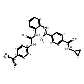 CC(Nc1ccccc1NC(=O)Nc1ccc(C(=N)N)cc1)c1ccc(C(=O)NC2CC2)cc1